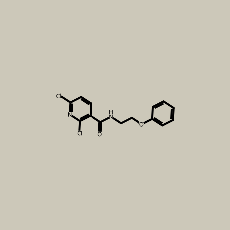 O=C(NCCOc1ccccc1)c1ccc(Cl)nc1Cl